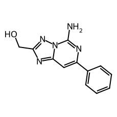 Nc1nc(-c2ccccc2)cc2nc(CO)nn12